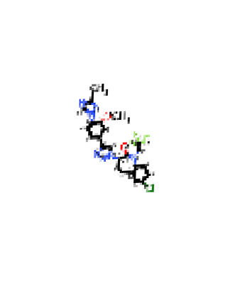 COc1cc(-c2cn([C@@H]3CCc4cc(Cl)ccc4N(CC(F)(F)F)C3=O)nn2)ccc1-n1cnc(C)n1